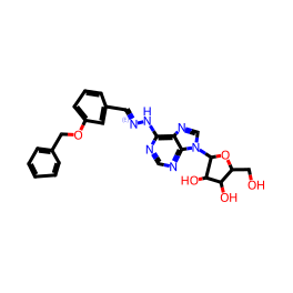 OCC1OC(n2cnc3c(N/N=C/c4cccc(OCc5ccccc5)c4)ncnc32)C(O)C1O